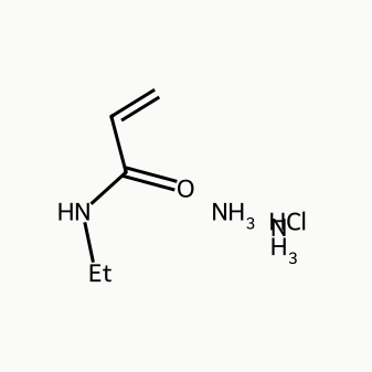 C=CC(=O)NCC.Cl.N.N